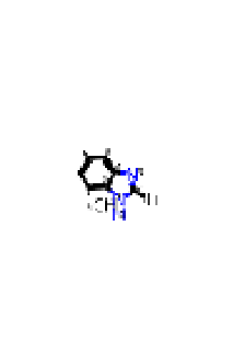 C.[Ti][c]1nc2ccccc2[nH]1